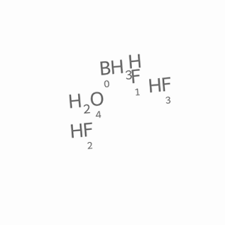 B.F.F.F.O